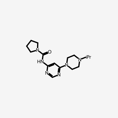 CC(C)N1CCN(c2cc(NC(=O)N3CCCC3)ncn2)CC1